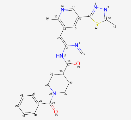 C=N/C(=C\c1cc(-c2nnc(C)s2)cnc1C)NC(=O)C1CCN(C(=O)c2ccccc2)CC1